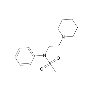 CS(=O)(=O)N(CCN1CCCCC1)c1cc[c]cc1